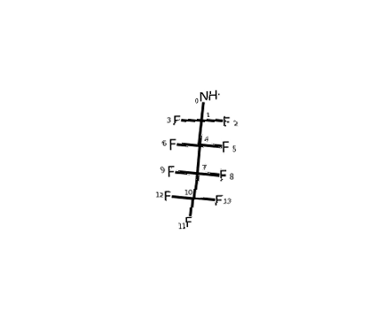 [NH]C(F)(F)C(F)(F)C(F)(F)C(F)(F)F